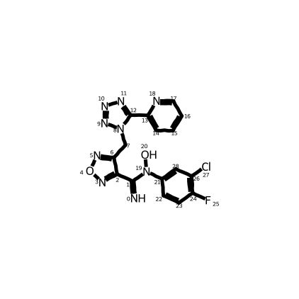 N=C(c1nonc1Cn1nnnc1-c1ccccn1)N(O)c1ccc(F)c(Cl)c1